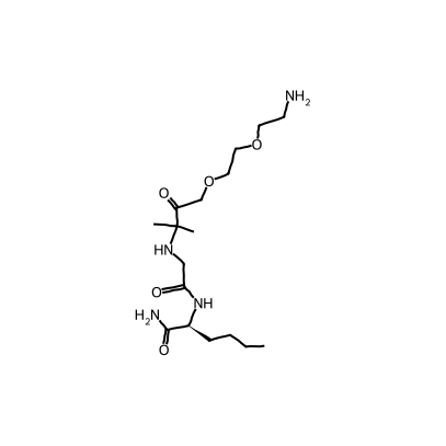 CCCC[C@H](NC(=O)CNC(C)(C)C(=O)COCCOCCN)C(N)=O